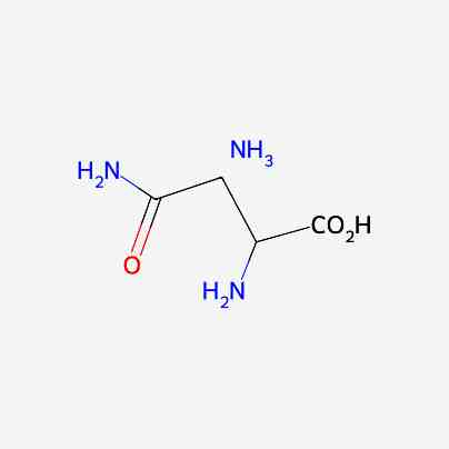 N.NC(=O)CC(N)C(=O)O